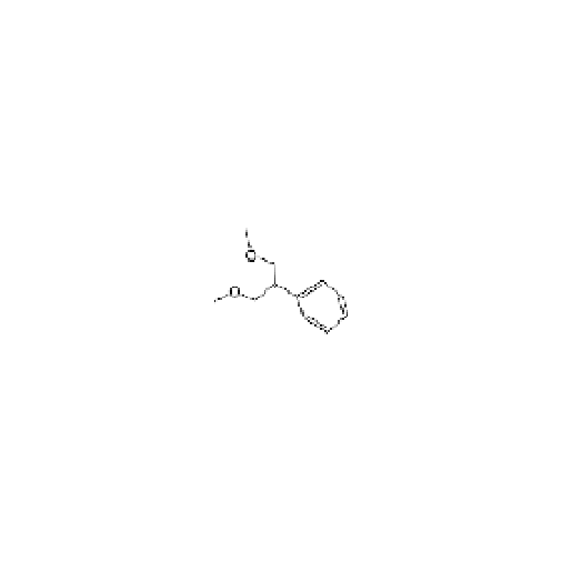 COC[C](COC)c1ccccc1